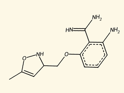 CC1=CC(COc2cccc(N)c2C(=N)N)NO1